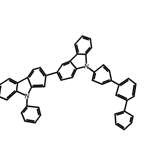 c1ccc(-c2cccc(-c3ccc(-n4c5ccccc5c5cc(-c6ccc7c8ccccc8n(-c8ccccc8)c7c6)ccc54)cc3)c2)cc1